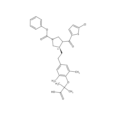 Cc1cc(CC[C@H]2CN(C(=O)Oc3ccccc3)CC2C(=O)c2ccc(Cl)s2)cc(C)c1OC(C)(C)C(=O)O